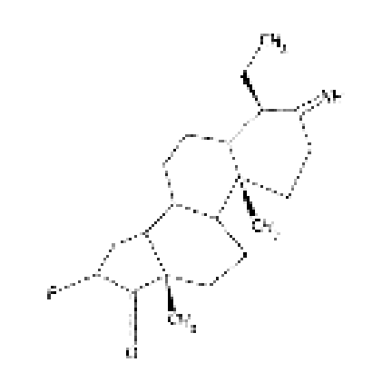 CC[C@H]1C(=N)CC[C@]2(C)C3CC[C@]4(C)C(=O)C(F)CC4C3CCC12